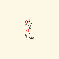 COCCOCC1CCOC1